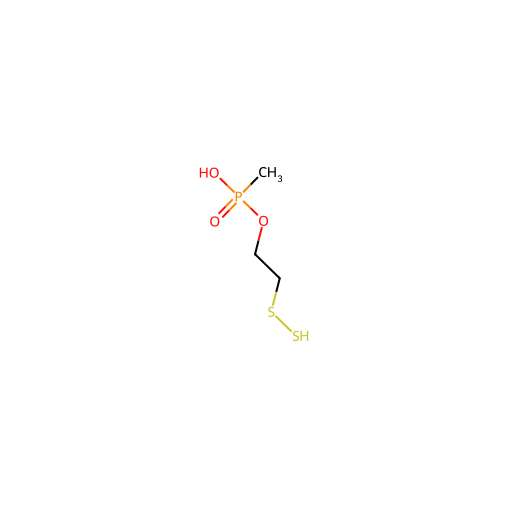 CP(=O)(O)OCCSS